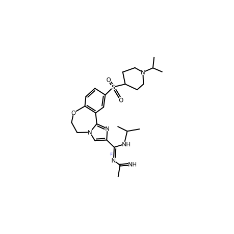 CC(=N)/N=C(\NC(C)C)c1cn2c(n1)-c1cc(S(=O)(=O)C3CCN(C(C)C)CC3)ccc1OCC2